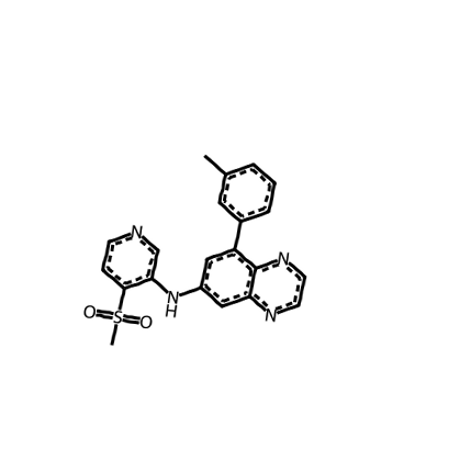 Cc1cccc(-c2cc(Nc3cnccc3S(C)(=O)=O)cc3nccnc23)c1